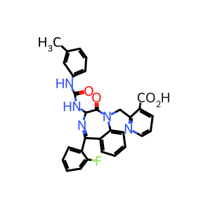 Cc1cccc(NC(=O)NC2N=C(c3ccccc3F)c3ccccc3N(Cc3ncccc3C(=O)O)C2=O)c1